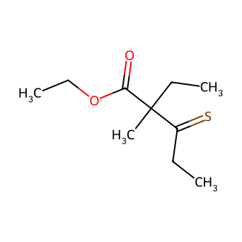 CCOC(=O)C(C)(CC)C(=S)CC